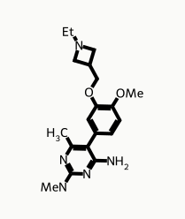 CCN1CC(COc2cc(-c3c(C)nc(NC)nc3N)ccc2OC)C1